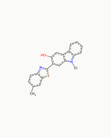 CCn1c2ccccc2c2cc(O)c(-c3nc4ccc(C)cc4s3)cc21